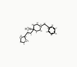 NC1(CCC2OCCO2)CCN(Cc2ccccc2)CC1